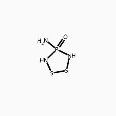 NP1(=O)NSSN1